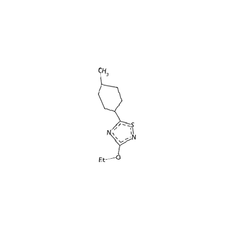 CCOc1nsc(C2CCC(C)CC2)n1